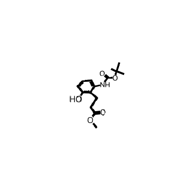 COC(=O)CCc1c(O)cccc1NC(=O)OC(C)(C)C